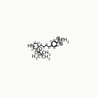 CC(C)(C)C(=O)OC1(CCCCc2ccc(S(C)(=O)=O)cc2)CCNCC1